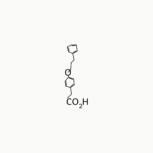 O=C(O)CCc1ccc(OCCCc2ccccc2)cc1